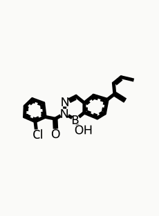 C=C(/C=C\C)c1ccc2c(c1)C=NN(C(=O)c1ccccc1Cl)B2O